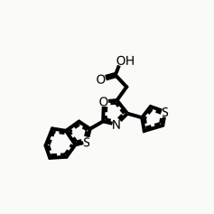 O=C(O)Cc1oc(-c2cc3ccccc3s2)nc1-c1ccsc1